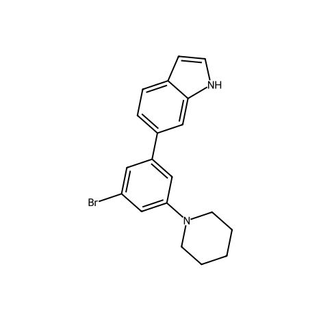 Brc1cc(-c2ccc3cc[nH]c3c2)cc(N2CCCCC2)c1